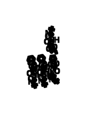 CC(C)(C)c1cc(NC(=O)C(C)(C)S(=O)(=O)C2CCCC2)on1.CC(C)(C)c1cc(NC(=O)C(C)(C)S(=O)(=O)CC2CCCCC2)on1.CC(C)(C)c1cc(NC(=O)C(C)(C)S(=O)(=O)CC2CCCCO2)on1.CCC(C)S(=O)(=O)C(C)(C)C(=O)Nc1cc(C(C)(C)C)no1